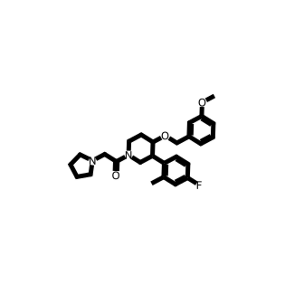 COc1cccc(COC2CCN(C(=O)CN3CCCC3)CC2c2ccc(F)cc2C)c1